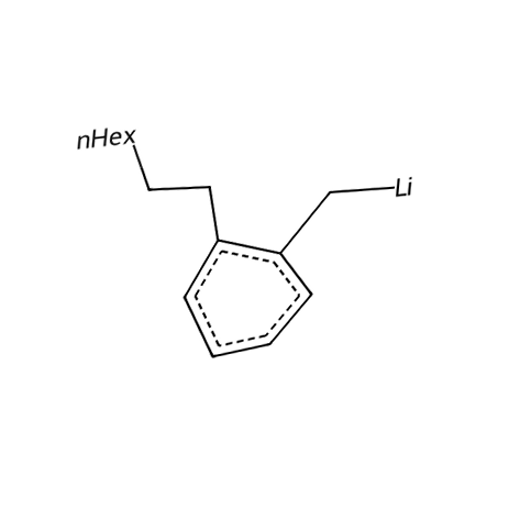 [Li][CH2]c1ccccc1CCCCCCCC